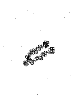 O=C(/C=C/c1ccc(CC(=O)c2ccc(OCCCC(F)(F)C(F)(F)F)cc2)cc1)OCC(COC(=O)/C=C/c1ccc(OC(=O)c2ccc(OCCCC(F)(F)C(F)(F)F)cc2)cc1)c1ccccc1